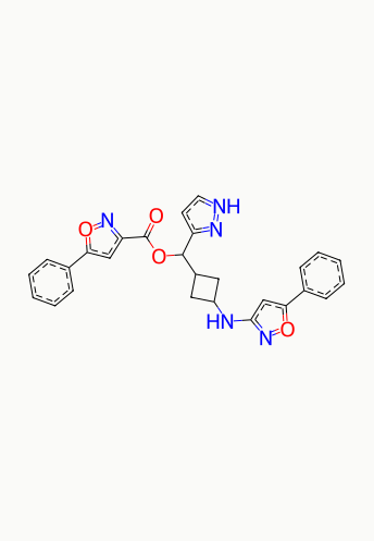 O=C(OC(c1cc[nH]n1)C1CC(Nc2cc(-c3ccccc3)on2)C1)c1cc(-c2ccccc2)on1